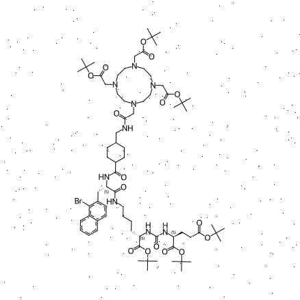 CC(C)(C)OC(=O)CC[C@H](NC(=O)N[C@@H](CCCCNC(=O)[C@H](Cc1ccc2ccccc2c1Br)NC(=O)C1CCC(CNC(=O)CN2CCN(CC(=O)OC(C)(C)C)CCN(CC(=O)OC(C)(C)C)CCN(CC(=O)OC(C)(C)C)CC2)CC1)C(=O)OC(C)(C)C)C(=O)OC(C)(C)C